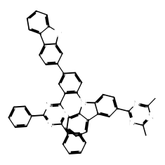 Cc1nc(C)nc(-c2ccc3c(c2)c2ccccc2n3-c2ccc(-c3ccc4c(c3)oc3ccccc34)cc2-c2nc(-c3ccccc3)nc(-c3ccccc3)n2)n1